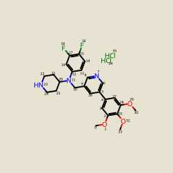 COc1cc(-c2cncc(CN(c3ccc(F)c(F)c3)C3CCNCC3)c2)cc(OC)c1OC.Cl.Cl